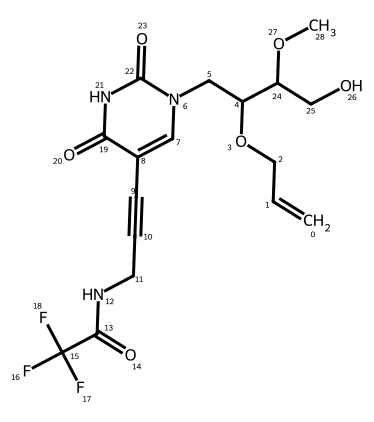 C=CCOC(Cn1cc(C#CCNC(=O)C(F)(F)F)c(=O)[nH]c1=O)C(CO)OC